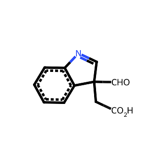 O=CC1(CC(=O)O)C=Nc2ccccc21